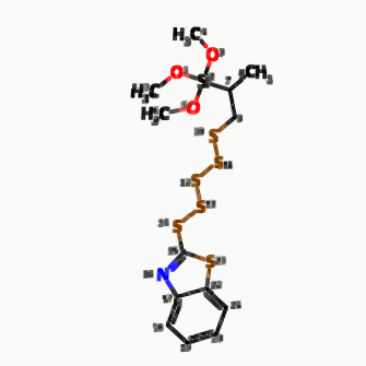 CO[Si](OC)(OC)C(C)CSSSSSc1nc2ccccc2s1